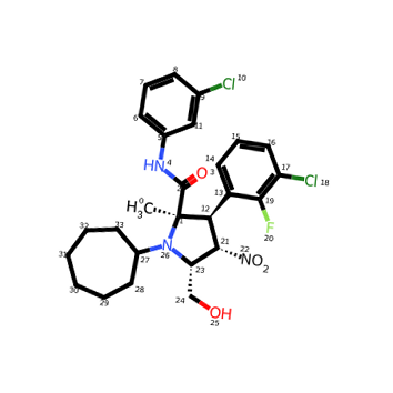 C[C@]1(C(=O)Nc2cccc(Cl)c2)[C@@H](c2cccc(Cl)c2F)[C@H]([N+](=O)[O-])[C@H](CO)N1C1CCCCCC1